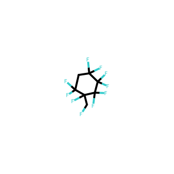 FCC1(F)C(F)(F)CC(F)(F)C(F)(F)C1(F)F